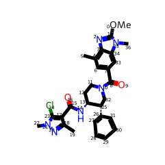 COc1nc2c(C)cc(C(=O)N3CC[C@@H](NC(=O)c4c(C)nn(C)c4Cl)[C@@H](c4ccccc4)C3)cc2n1C